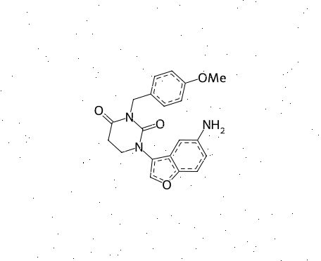 COc1ccc(CN2C(=O)CCN(c3coc4ccc(N)cc34)C2=O)cc1